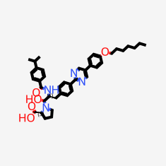 CCCCCCCOc1ccc(-c2cnc(-c3ccc(C[C@H](NC(=O)c4ccc(C(C)C)cc4)C(O)N4CCC[C@H]4C(=O)O)cc3)nc2)cc1